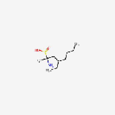 CCCCC(CC)CC(C)(N)S(=O)O